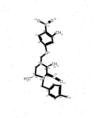 Cc1cc(OCN2C[C@@H](C)N(Cc3ccc(F)cc3)C(=C=O)[C@@H]2C)ccc1[N+](=O)[O-]